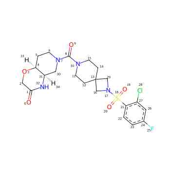 O=C1CO[C@H]2CCN(C(=O)N3CCC4(CC3)CN(S(=O)(=O)c3ccc(F)cc3Cl)C4)C[C@H]2N1